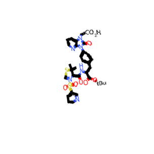 CC(C)(C)OC(=O)C(Cc1ccc(-n2c(=O)n(CC(=O)O)c3cccnc32)cc1)NC(=O)C1N(S(=O)(=O)c2cccnc2)CSC1(C)C